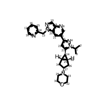 CC(C)n1nc(-c2cnc3cnn(Cc4ccccn4)c3c2)cc1[C@H]1[C@@H]2C[C@H](N3CCOCC3)C[C@@H]21